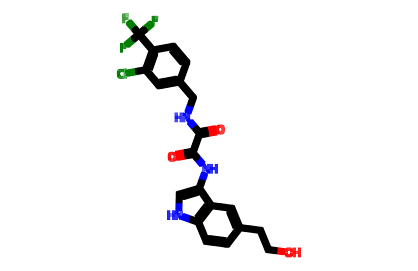 O=C(NCc1ccc(C(F)(F)F)c(Cl)c1)C(=O)Nc1c[nH]c2ccc(CCO)cc12